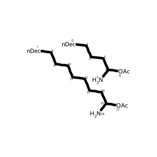 CCCCCCCCCCCCCC(N)OC(C)=O.CCCCCCCCCCCCCCCCCC(N)OC(C)=O